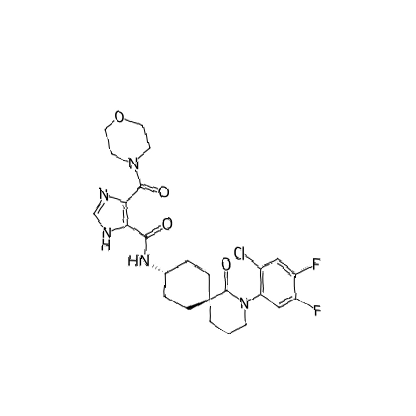 O=C(N[C@H]1CC[C@@]2(CCCN(c3cc(F)c(F)cc3Cl)C2=O)CC1)c1[nH]cnc1C(=O)N1CCOCC1